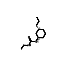 CCC[C@@H]1CCC[C@@H](NC(=O)NCC)C1